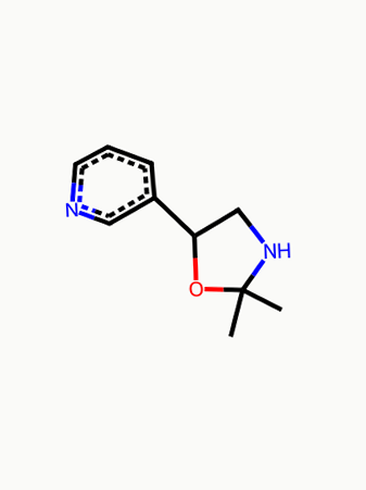 CC1(C)NCC(c2cccnc2)O1